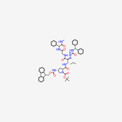 CCC[C@H](NC(=O)C1C[C@@H](NC(=O)OCC2c3ccccc3-c3ccccc32)CN1C(=O)OC(C)(C)C)C(=NNC(=O)NC(c1ccccc1)c1ccccc1)C(=O)NCC(=O)N[C@H](C(=O)NC)c1ccccc1